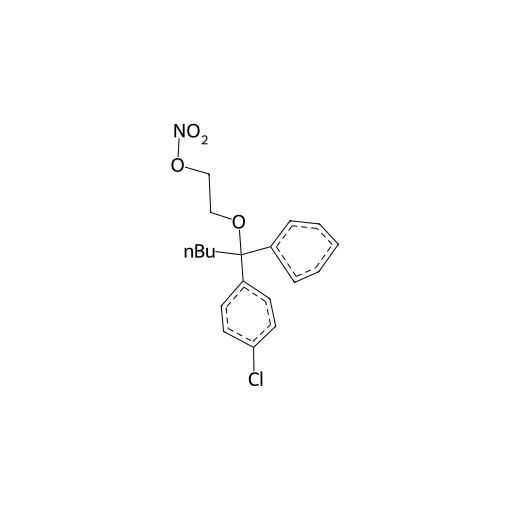 CCCCC(OCCO[N+](=O)[O-])(c1ccccc1)c1ccc(Cl)cc1